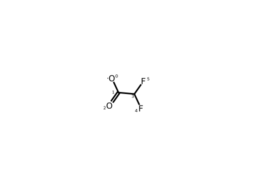 [O]C(=O)C(F)F